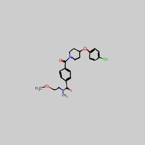 COCCN(C)C(=O)c1ccc(C(=O)N2CCC(Oc3ccc(Cl)cc3)CC2)cc1